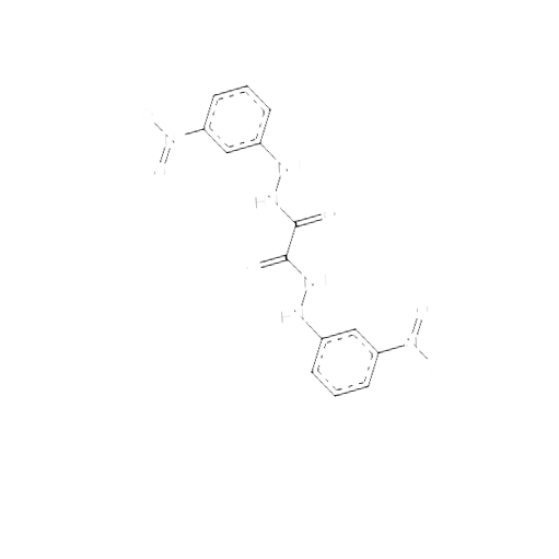 O=C(NNc1cccc([N+](=O)[O-])c1)C(=O)NNc1cccc([N+](=O)[O-])c1